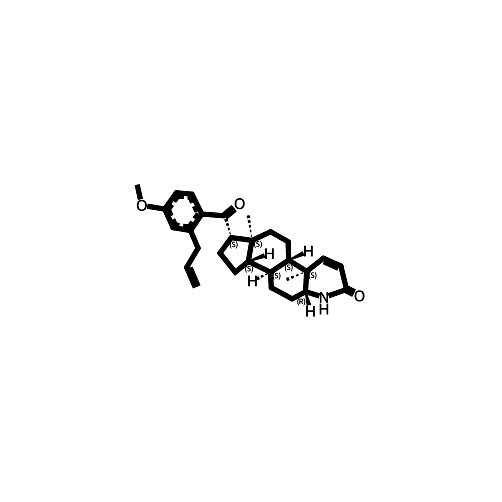 C=CCc1cc(OC)ccc1C(=O)[C@H]1CC[C@H]2[C@@H]3CC[C@H]4NC(=O)C=C[C@]4(C)[C@H]3CC[C@]12C